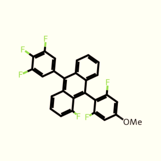 COc1cc(F)c(-c2c3ccccc3c(-c3cc(F)c(F)c(F)c3)c3cccc(F)c23)c(F)c1